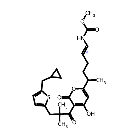 COC(=O)N/C=C/CCC(C)c1cc(O)c(C(=O)C(C)(C)Cc2ccc(CC3CC3)s2)c(=O)o1